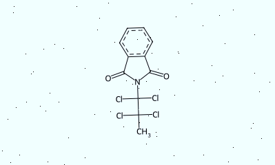 CC(Cl)(Cl)C(Cl)(Cl)N1C(=O)c2ccccc2C1=O